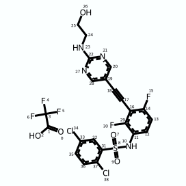 O=C(O)C(F)(F)F.O=S(=O)(Nc1ccc(F)c(C#Cc2cnc(NCCO)nc2)c1F)c1cc(Cl)ccc1Cl